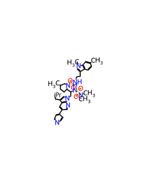 Cc1ccc2c(CCNS(=O)(=O)N3CC(C)CCC3C(Cn3cc(CC(C)C)c4cc(-c5ccncc5)cnc43)NS(=O)(=O)N(C)C)cn(C)c2c1